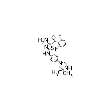 CC1(C)CN(c2ccc(Nc3nc(N)c(C(=O)c4c(F)cccc4F)s3)cc2)CCN1